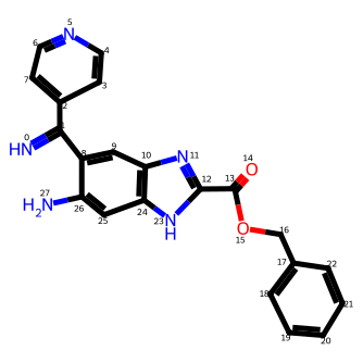 N=C(c1ccncc1)c1cc2nc(C(=O)OCc3ccccc3)[nH]c2cc1N